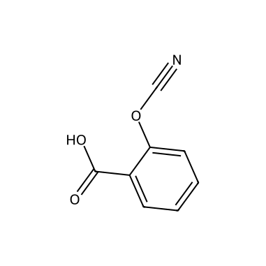 N#COc1ccccc1C(=O)O